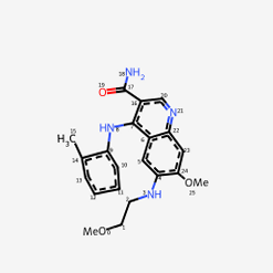 COCCNc1cc2c(Nc3ccccc3C)c(C(N)=O)cnc2cc1OC